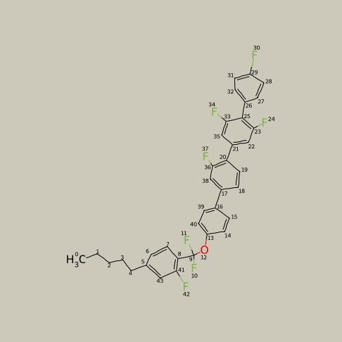 CCCCCc1ccc(C(F)(F)Oc2ccc(-c3ccc(-c4cc(F)c(-c5ccc(F)cc5)c(F)c4)c(F)c3)cc2)c(F)c1